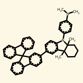 CN(C)c1ccc(N2c3ccc(-c4ccc5c(c4)C4(c6ccccc6-c6ccccc64)c4ccccc4-5)cc3C3(C)CCCCC23C)cc1